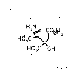 C=C.N.N.O=C(O)CC(O)(CC(=O)O)C(=O)O